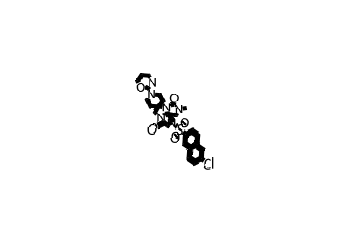 CN1CC23CN(S(=O)(=O)c4ccc5cc(Cl)ccc5c4)CC(=O)N2CC2(CCN(C4=NCCCO4)CC2)N3C1=O